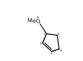 COC1C=[C]CC1